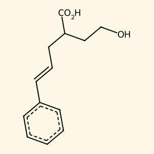 O=C(O)C(C/C=C/c1ccccc1)CCO